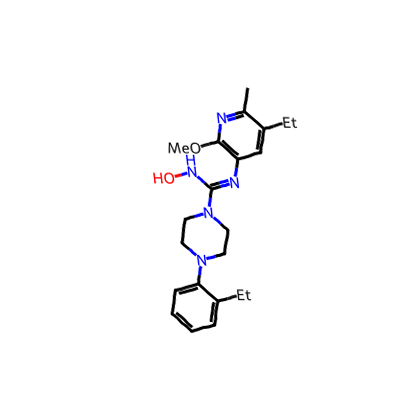 CCc1ccccc1N1CCN(C(=Nc2cc(CC)c(C)nc2OC)NO)CC1